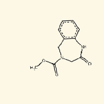 COC(=O)N1CC(=O)Nc2ccccc2C1